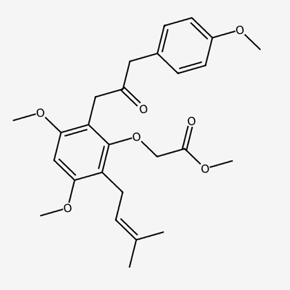 COC(=O)COc1c(CC=C(C)C)c(OC)cc(OC)c1CC(=O)Cc1ccc(OC)cc1